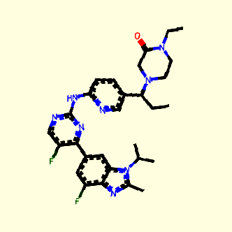 CCC(c1ccc(Nc2ncc(F)c(-c3cc(F)c4nc(C)n(C(C)C)c4c3)n2)nc1)N1CCN(CC)C(=O)C1